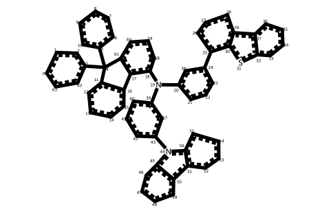 c1ccc(C2(c3ccccc3)c3ccccc3-c3c(N(c4cccc(-c5cccc6c5sc5ccccc56)c4)c4cccc(-n5c6ccccc6c6ccccc65)c4)cccc32)cc1